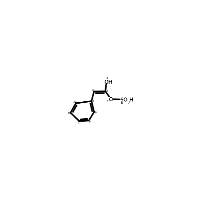 O=S(=O)(O)OC(O)=Cc1ccccc1